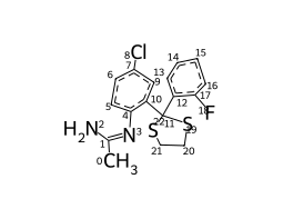 CC(N)=Nc1ccc(Cl)cc1C1(c2ccccc2F)SCCS1